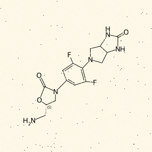 NC[C@H]1CN(c2cc(F)c(N3CC4NC(=O)NC4C3)c(F)c2)C(=O)O1